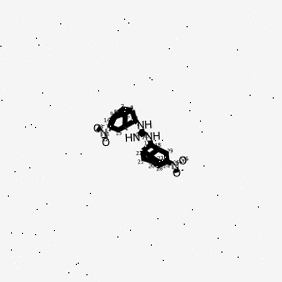 N=C(NC1C2CC3CC1CC([N+](=O)[O-])(C3)C2)NC1C2CC3CC1CC([N+](=O)[O-])(C3)C2